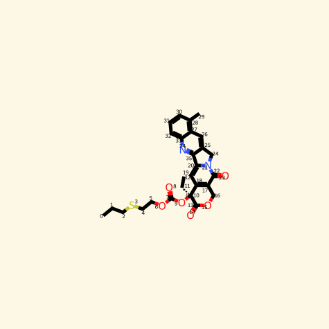 CCCSCCOC(=O)O[C@]1(CC)C(=O)OCc2c1cc1n(c2=O)Cc2cc3c(C)cccc3nc2-1